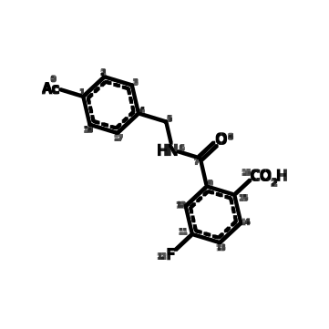 CC(=O)c1ccc(CNC(=O)c2cc(F)ccc2C(=O)O)cc1